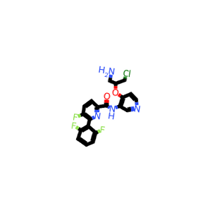 NCC(CCl)Oc1ccncc1NC(=O)c1ccc(F)c(-c2c(F)cccc2F)n1